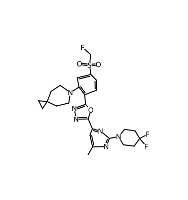 Cc1cc(-c2nnc(-c3ccc(S(=O)(=O)CF)cc3N3CCC4(CC3)CC4)o2)nc(N2CCC(F)(F)CC2)n1